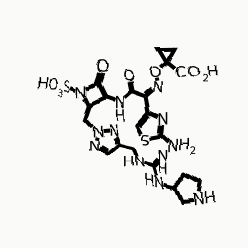 N=C(NCc1cnn(CC2C(NC(=O)/C(=N\OC3(C(=O)O)CC3)c3csc(N)n3)C(=O)N2S(=O)(=O)O)n1)NC1CCNC1